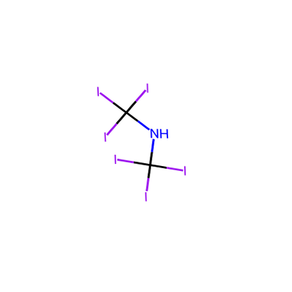 IC(I)(I)NC(I)(I)I